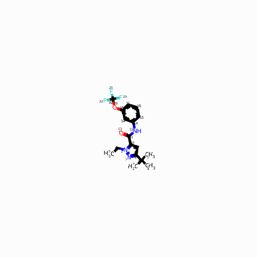 CCn1nc(C(C)(C)C)cc1C(=O)Nc1cccc(OC(F)(F)F)c1